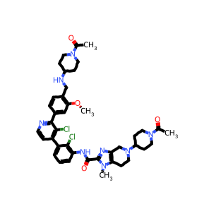 COc1cc(-c2nccc(-c3cccc(NC(=O)c4nc5c(n4C)CCN(C4CCN(C(C)=O)CC4)C5)c3Cl)c2Cl)ccc1CNC1CCN(C(C)=O)CC1